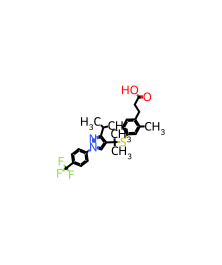 Cc1cc(SC(C)(C)c2cn(-c3ccc(C(F)(F)F)cc3)nc2C(C)C)ccc1CCC(=O)O